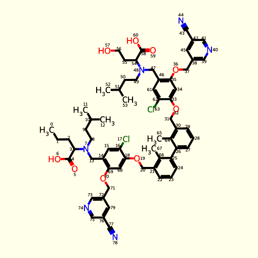 CCCC(C(=O)O)N(CCC(C)C)Cc1cc(Cl)c(OCc2cccc(-c3cccc(COc4cc(OCc5cncc(C#N)c5)c(CN(CCC(C)C)C(CCO)C(=O)O)cc4Cl)c3C)c2C)cc1OCc1cncc(C#N)c1